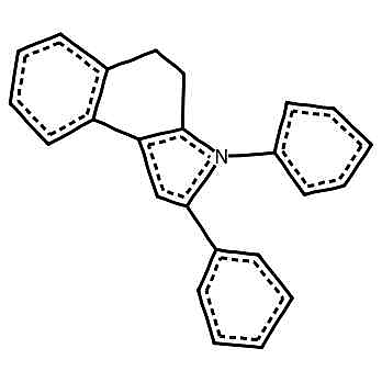 c1ccc(-c2cc3c(n2-c2ccccc2)CCc2ccccc2-3)cc1